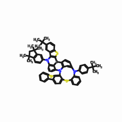 CC(C)(C)c1ccc(N2c3ccc4c(c3)N(c3cccc5c3B4c3sc4ccc(C(C)(C)C)cc4c3N5c3ccc4c(c3)C(C)(C)CC4(C)C)c3c(ccc4c3sc3ccccc34)Sc3ccccc32)cc1